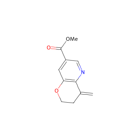 C=C1CCOc2cc(C(=O)OC)cnc21